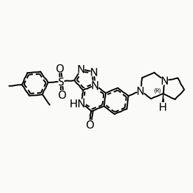 Cc1ccc(S(=O)(=O)c2nnn3c2[nH]c(=O)c2ccc(N4CCN5CCC[C@@H]5C4)cc23)c(C)c1